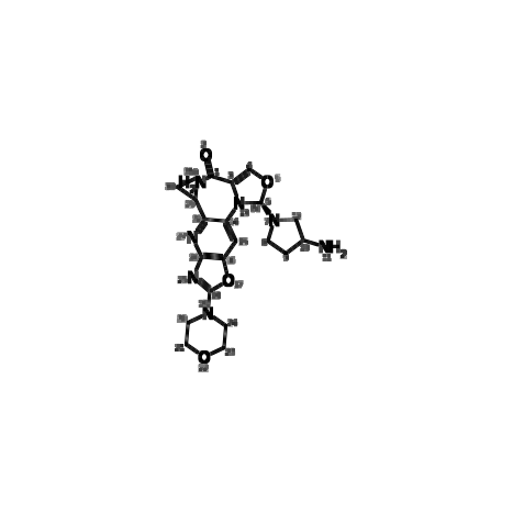 NC(=O)C1=CO[C@@H](N2CCC(N)C2)N1c1cc2oc(N3CCOCC3)nc2nc1C1CC1